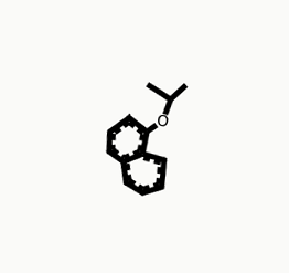 CC(C)Oc1[c]ccc2ccccc12